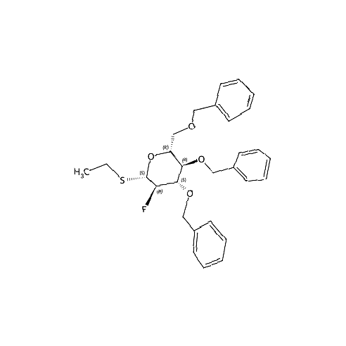 CCS[C@@H]1O[C@H](COCc2ccccc2)[C@@H](OCc2ccccc2)[C@H](OCc2ccccc2)[C@H]1F